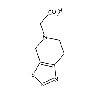 O=C(O)CN1CCc2n[c]sc2C1